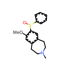 COc1cc2c(cc1[S+]([O-])c1ccccc1)CCN(C)CC2